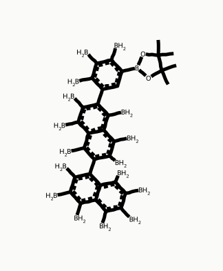 Bc1c(B2OC(C)(C)C(C)(C)O2)cc(-c2c(B)c(B)c3c(B)c(-c4c(B)c(B)c(B)c5c(B)c(B)c(B)c(B)c45)c(B)c(B)c3c2B)c(B)c1B